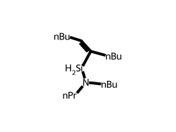 CCCCC=C(CCCC)[SiH2]N(CCC)CCCC